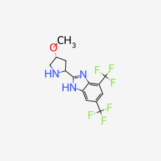 CO[C@H]1CNC(c2nc3c(C(F)(F)F)cc(C(F)(F)F)cc3[nH]2)C1